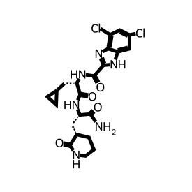 NC(=O)[C@H](C[C@@H]1CCCNC1=O)NC(=O)[C@H](CC1CC1)NC(=O)c1nc2c(Cl)cc(Cl)cc2[nH]1